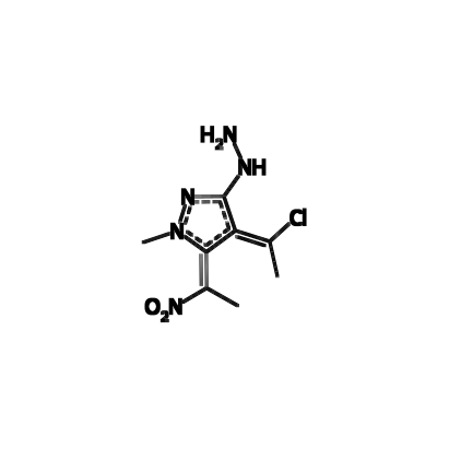 C/C(Cl)=c1/c(NN)nn(C)/c1=C(/C)[N+](=O)[O-]